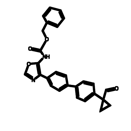 O=CC1(c2ccc(-c3ccc(-c4ncoc4NC(=O)OCc4ccccc4)cc3)cc2)CC1